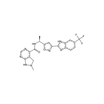 C[C@H](NC(=O)c1ncnc2c1CN(C)N2)c1cc(-c2nc3ccc(C(F)(F)F)cc3[nH]2)no1